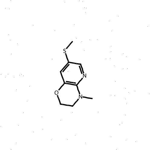 CSc1cnc2c(c1)OCCN2C